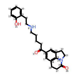 O=C(CCCCNCCc1ccccc1O)c1cc2c3c(c1)CCN3C(=O)CC2